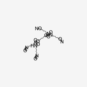 N#COCCCCCCNC(=O)N(CCCCCCOC#N)C(=O)OCCCCCCOC(=O)N(CCCCCCN=C=O)C(=O)NCCCCCCN=C=O